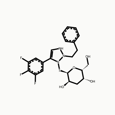 OC[C@H]1O[C@H](SN2C(c3cc(F)c(F)c(F)c3)=CNN2CCc2ccccc2)[C@H](O)C[C@H]1O